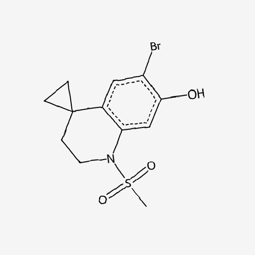 CS(=O)(=O)N1CCC2(CC2)c2cc(Br)c(O)cc21